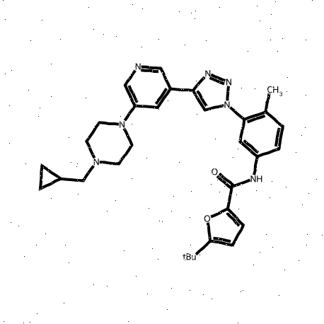 Cc1ccc(NC(=O)c2ccc(C(C)(C)C)o2)cc1-n1cc(-c2cncc(N3CCN(CC4CC4)CC3)c2)nn1